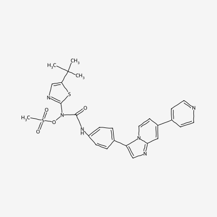 CC(C)(C)c1cnc(N(OS(C)(=O)=O)C(=O)Nc2ccc(-c3cnc4cc(-c5ccncc5)ccn34)cc2)s1